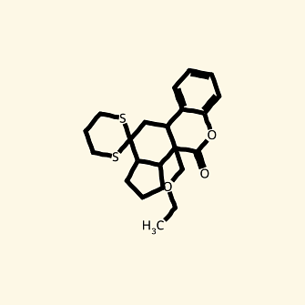 CCOCC12C(=O)Oc3ccccc3C1CC1(SCCCS1)C1CCCC12